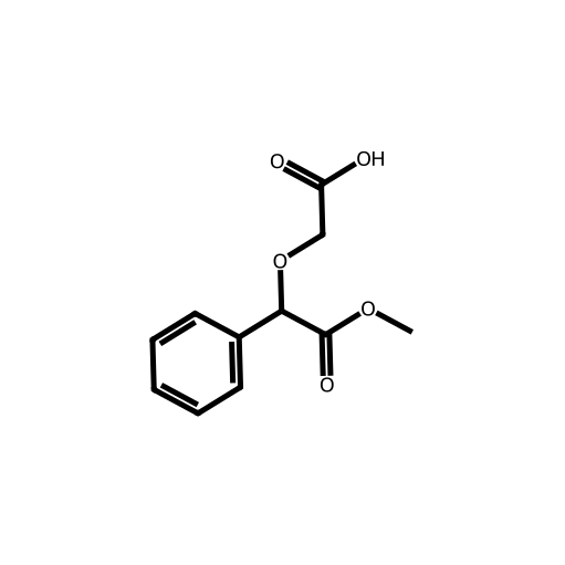 COC(=O)C(OCC(=O)O)c1ccccc1